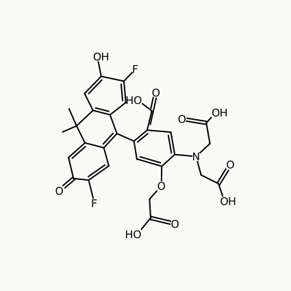 CC1(C)C2=CC(=O)C(F)=CC2=C(c2cc(OCC(=O)O)c(N(CC(=O)O)CC(=O)O)cc2C(=O)O)c2cc(F)c(O)cc21